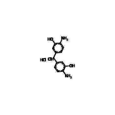 Cl.Cl.Nc1ccc(Cc2ccc(N)c(O)c2)cc1O